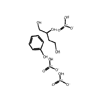 O=[N+]([O-])O.O=[N+]([O-])O.O=[N+]([O-])O.OCCC(O)CO.Oc1ccccc1